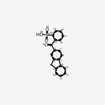 O=C(c1ccc2c(c1)Cc1ccccc1-2)c1ccccc1S(=O)(=O)O